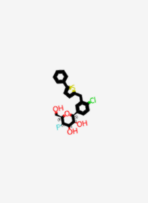 OC[C@H]1O[C@@H](c2ccc(Cl)c(Cc3ccc(-c4ccccc4)s3)c2)[C@H](O)[C@@H](O)[C@@H]1F